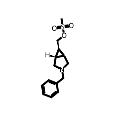 CS(=O)(=O)OC[C@H]1C2CN(Cc3ccccc3)C[C@@H]21